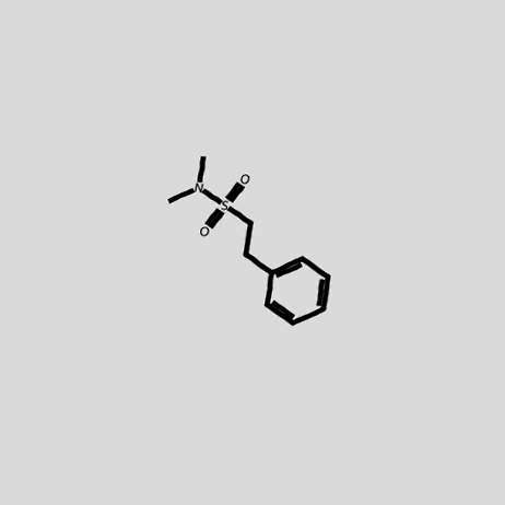 CN(C)S(=O)(=O)CCc1ccccc1